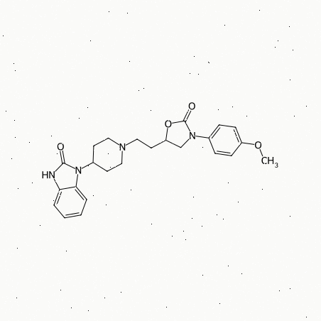 COc1ccc(N2CC(CCN3CCC(n4c(=O)[nH]c5ccccc54)CC3)OC2=O)cc1